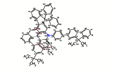 CC(C)(C)c1cc(-c2cccc3cccc(-c4ccccc4N(c4ccc(-c5ccc6c(c5)C(C)(C)c5ccccc5-6)cc4)c4ccc5c(c4)C(c4ccccc4)(c4ccccc4)c4ccccc4-5)c23)cc(C(C)(C)C)c1